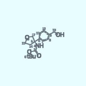 CC(C)(C)OC(=O)NC1(c2ccc(CO)cc2)CCOC1